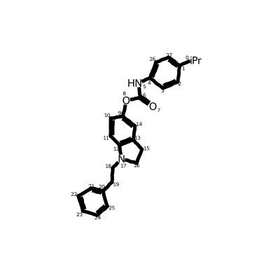 CC(C)c1ccc(NC(=O)Oc2ccc3c(c2)CCN3CCc2ccccc2)cc1